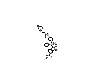 CCOC(=O)c1ccc2c(c1)NC(=O)/C2=C(\Nc1ccc(N(C)C(=O)CCN2CCNCC2)cc1)c1ccccc1